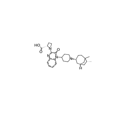 C[C@@H]1C[C@@H]2C[C@@H](N3CCC(n4c(=O)c(N5CC[C@H]5C(=O)O)nc5ccccc54)CC3)CCC1(C)C2